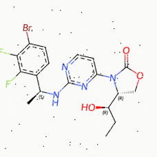 CC[C@@H](O)[C@H]1COC(=O)N1c1ccnc(N[C@@H](C)c2ccc(Br)c(F)c2F)n1